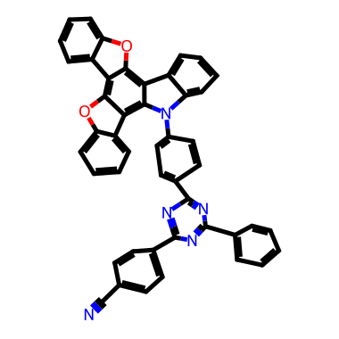 N#Cc1ccc(-c2nc(-c3ccccc3)nc(-c3ccc(-n4c5ccccc5c5c6oc7ccccc7c6c6oc7ccccc7c6c54)cc3)n2)cc1